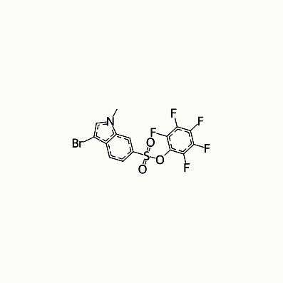 Cn1cc(Br)c2ccc(S(=O)(=O)Oc3c(F)c(F)c(F)c(F)c3F)cc21